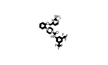 Nc1nccc(COc2ccccc2N2CCN(C(=O)Nc3cc(C(F)(F)F)cc(C(F)(F)F)c3)CC2)n1